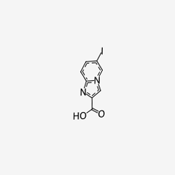 O=C(O)c1cn2cc(I)ccc2n1